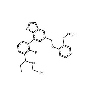 CCOC(=O)Cc1ccccc1OCc1cc(-c2cccc(C(CF)NCC(C)(C)C)c2F)c2occc2c1